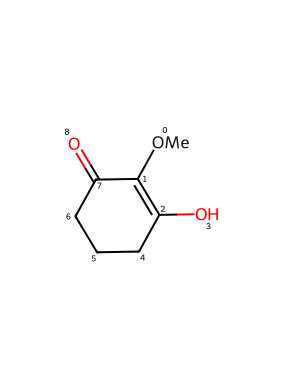 COC1=C(O)CCCC1=O